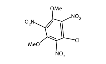 COc1c([N+](=O)[O-])c(Cl)c([N+](=O)[O-])c(OC)c1[N+](=O)[O-]